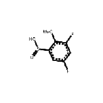 COc1c(F)cc(F)cc1S(=O)O